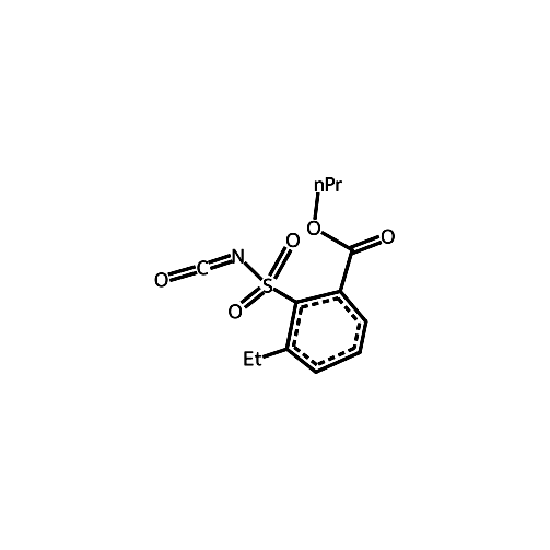 CCCOC(=O)c1cccc(CC)c1S(=O)(=O)N=C=O